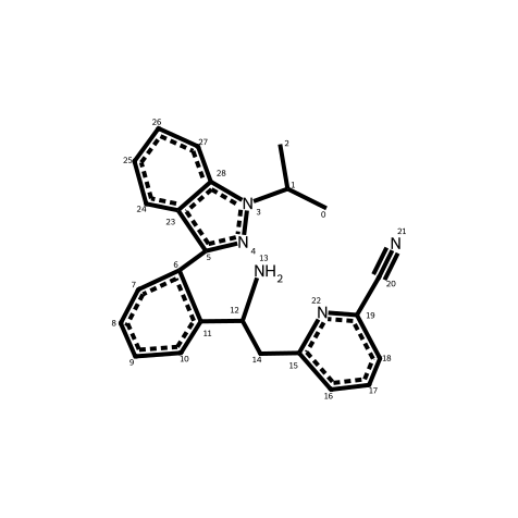 CC(C)n1nc(-c2ccccc2C(N)Cc2cccc(C#N)n2)c2ccccc21